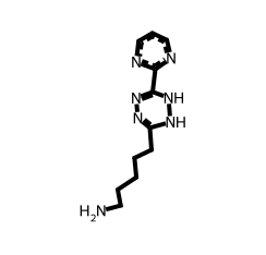 NCCCCCC1=NN=C(c2ncccn2)NN1